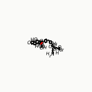 C[C@]12C=CC(=O)C=C1CC[C@@H]1C2[C@@H](O)C[C@@]2(C)C1C[C@H]1O[C@@H](c3ccc(CC4CCC(NC(=O)[C@H](CCCCN)NC(=O)CNC(=O)CBr)CC4)cc3)O[C@]12C(=O)COP(=O)(O)O